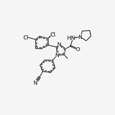 Cc1c(C(=O)NN2CCCC2)nc(-c2ccc(Cl)cc2Cl)n1-c1ccc(C#N)cc1